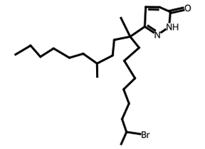 CCCCCCC(C)CCC(C)(CCCCCCC(C)Br)c1ccc(=O)[nH]n1